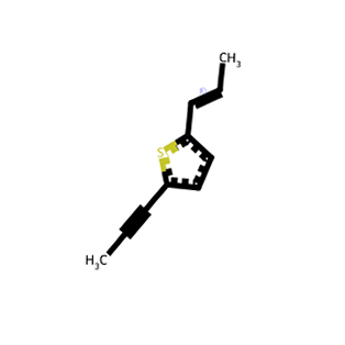 CC#Cc1ccc(/C=C/C)s1